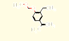 C=C(C)c1ccc(OCOC)c(CC)c1